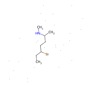 CCC(Br)CCC(C)NC